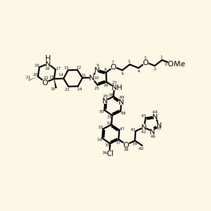 COCCOCCCOc1nn(C2CCC([C@@]3(C)CNC[C@@H](C)O3)CC2)cc1Nc1ncc(-c2ccc(Cl)c(OC(C)Cn3cnnn3)c2)cn1